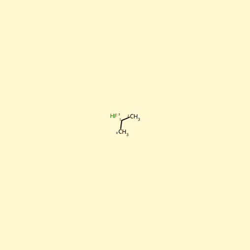 CCC.F